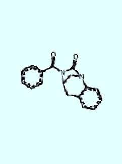 O=C(c1ccccc1)N1C(=O)N2CC1Cc1ccccc12